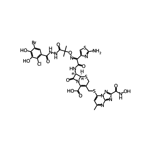 Cc1cc(SCC2=C(C(=O)O)N3C(=O)[C@@H](NC(=O)C(=NOC(C)(C)C(=O)NNC(=O)c4cc(Br)c(O)c(O)c4Cl)c4csc(N)n4)[C@H]3SC2)n2nc(C(=O)NO)nc2n1